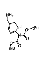 CC(C)(C)OC(=O)N(C(=O)OC(C)(C)C)C1=CC=C(CN)CN1